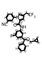 N#Cc1cccc(-n2nc(CC(F)(F)F)cc2C(=O)Nc2cc(F)cc(C(OCC3CC3)c3ccccc3)c2)c1